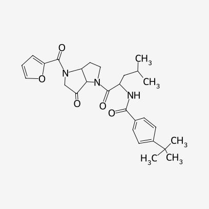 CC(C)CC(NC(=O)c1ccc(C(C)(C)C)cc1)C(=O)N1CCC2C1C(=O)CN2C(=O)c1ccco1